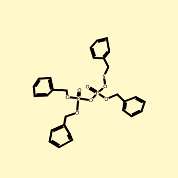 O=P(OCc1ccccc1)(OCc1ccccc1)OP(=O)(OCc1ccccc1)OSCc1ccccc1